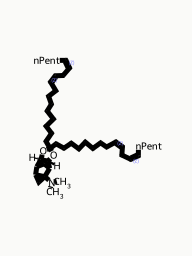 CCCCC/C=C\C/C=C\CCCCCCCCC1(CCCCCCCC/C=C\C/C=C\CCCCC)O[C@@H]2C3CC([C@H]2O1)C1(N(C)C)CC31